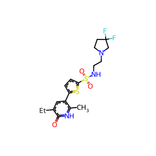 CCc1cc(-c2ccc(S(=O)(=O)NCCN3CCC(F)(F)C3)s2)c(C)[nH]c1=O